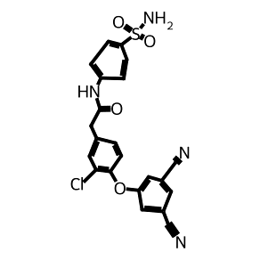 N#Cc1cc(C#N)cc(Oc2ccc(CC(=O)Nc3ccc(S(N)(=O)=O)cc3)cc2Cl)c1